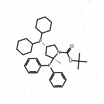 CC(C)(C)OC(=O)N1C[C@@H](P(C2CCCCC2)C2CCCCC2)C[C@]1(C)P(c1ccccc1)c1ccccc1